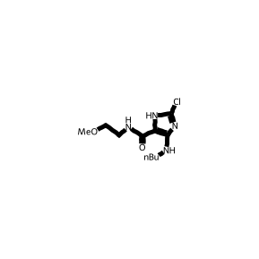 CCCCNc1nc(Cl)[nH]c1C(=O)NCCOC